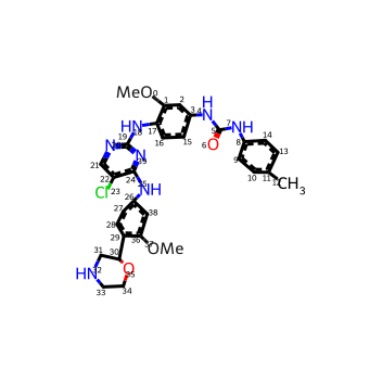 COc1cc(NC(=O)Nc2ccc(C)cc2)ccc1Nc1ncc(Cl)c(Nc2ccc(C3CNCCO3)c(OC)c2)n1